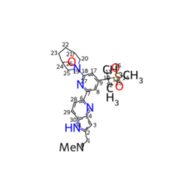 CNCc1cc2nc(-c3cc(C(C)(C)S(C)(=O)=O)cc(N4CC5CCC(C4)O5)n3)ccc2[nH]1